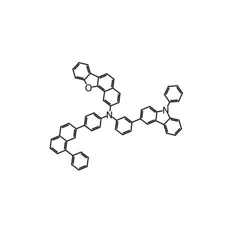 c1ccc(-c2cccc3ccc(-c4ccc(N(c5cccc(-c6ccc7c(c6)c6ccccc6n7-c6ccccc6)c5)c5ccc6ccc7c8ccccc8oc7c6c5)cc4)cc23)cc1